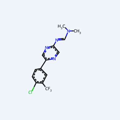 CN(C)/C=N/c1cnc(-c2ccc(Cl)c(C(F)(F)F)c2)cn1